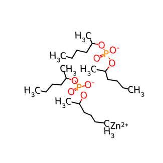 CCCCC(C)OP(=O)([O-])OC(C)CCCC.CCCCC(C)OP(=O)([O-])OC(C)CCCC.[Zn+2]